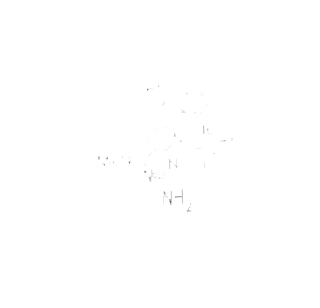 CCOc1ccccc1-c1ccc2c(NC)nc(N)nc2n1.O=C(O)C(F)(F)F